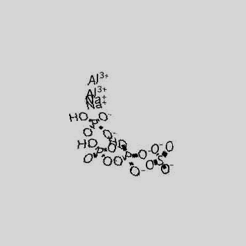 O=P([O-])([O-])O.O=P([O-])([O-])O.O=P([O-])([O-])O.O=S(=O)([O-])[O-].[Al+3].[Al+3].[Na+].[Na+]